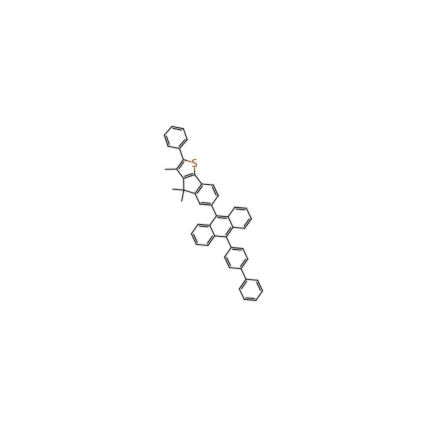 Cc1c(-c2ccccc2)sc2c1C(C)(C)c1cc(-c3c4ccccc4c(-c4ccc(-c5ccccc5)cc4)c4ccccc34)ccc1-2